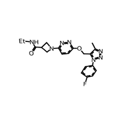 CCNC(=O)C1CN(c2ccc(OCc3c(C)nnn3-c3ccc(F)cc3)nn2)C1